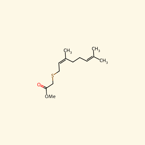 COC(=O)CSCC=C(C)CCC=C(C)C